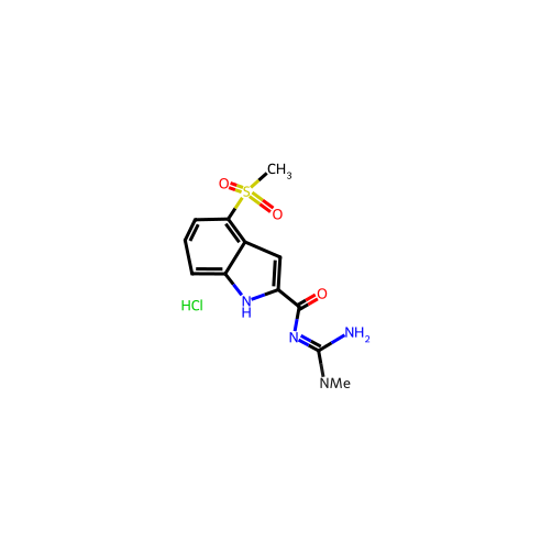 CNC(N)=NC(=O)c1cc2c(S(C)(=O)=O)cccc2[nH]1.Cl